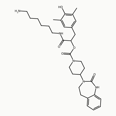 Cc1cc(CC(OC(=O)N2CCC(N3CCc4ccccc4NC3=O)CC2)C(=O)NCCCCCCN)cc(C)c1O